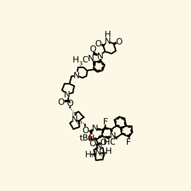 C#Cc1c(F)ccc2cccc(-c3ncc4c(N5C[C@H]6CC[C@@H](C5)N6C(=O)OC(C)(C)C)nc(OC[C@]56CCCN5[C@H](COC(=O)N5CCC(CN7CCC(c8cccc9c8n(C)c(=O)n9C8CCC(=O)NC8=O)CC7)CC5)CC6)nc4c3F)c12